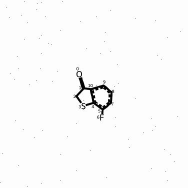 O=C1CSc2c(F)cccc21